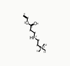 C=COC(=O)CCPCC[N+](C)(C)C